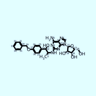 CC(Nc1nc(N)c2ncn([C@@H]3O[C@H](CO)[C@@H](O)[C@H]3O)c2n1)C(O)c1ccc(OCc2ccccc2)cc1